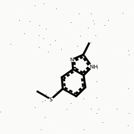 [CH2]c1nc2cc(SC)ccc2[nH]1